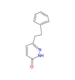 O=c1ccc(CCc2ccccc2)n[nH]1